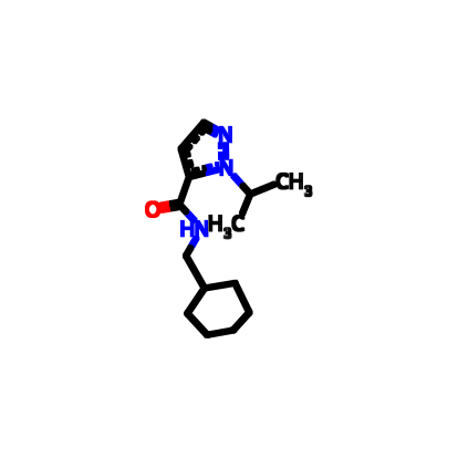 CC(C)n1nccc1C(=O)NCC1CCCCC1